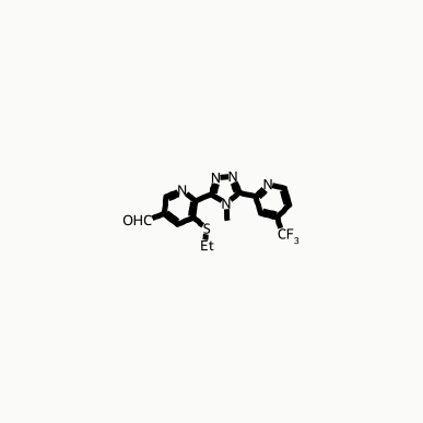 CCSc1cc(C=O)cnc1-c1nnc(-c2cc(C(F)(F)F)ccn2)n1C